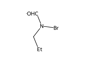 CCCN(Br)[C]=O